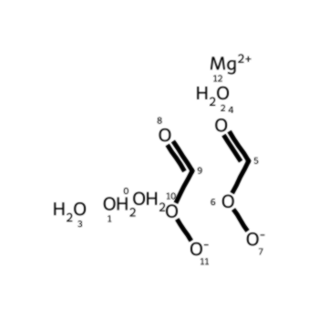 O.O.O.O.O=CO[O-].O=CO[O-].[Mg+2]